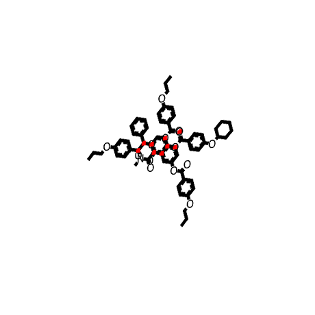 CCCOc1ccc(C(=O)Cc2ccc(OC(=O)c3ccc(OC4CCCCC4)cc3)cc2C(=O)N(C)[C@H](C)[C@@H](OC(=O)c2cc(OC(=O)c3ccc(OCCC)cc3)ccc2OC(=O)c2ccc(OCCC)cc2)c2ccccc2)cc1